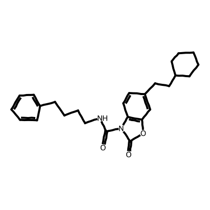 O=C(NCCCCc1ccccc1)n1c(=O)oc2cc(CCC3CCCCC3)ccc21